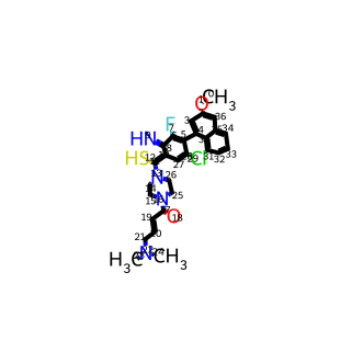 COc1cc(C2=C(F)C(=N)/C(=C(\S)N3CCN(C(=O)/C=C/CN(C)C)CC3)C=C2Cl)c2ccccc2c1